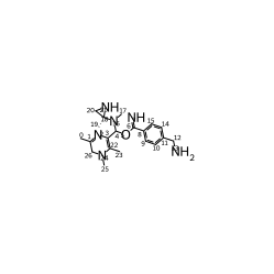 CC1=NC(C(OC(=N)c2ccc(CN)cc2)N(C)[C@@]2(C)CN2)=C(C)N(C)C1